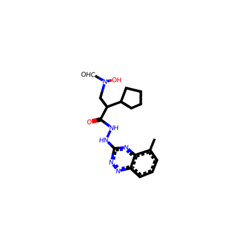 Cc1cccc2nnc(NNC(=O)C(CN(O)C=O)C3CCCC3)nc12